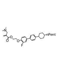 C=C(CN(C)C)C(=O)OCCOc1ccc(-c2ccc(C3CCC(CCCCC)CC3)cc2)cc1F